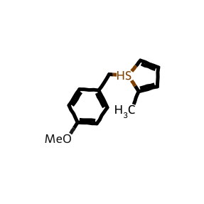 COc1ccc(C[SH]2C=CC=C2C)cc1